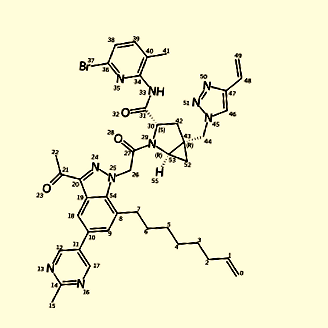 C=CCCCCCCc1cc(-c2cnc(C)nc2)cc2c(C(C)=O)nn(CC(=O)N3[C@H](C(=O)Nc4nc(Br)ccc4C)C[C@@]4(Cn5cc(C=C)nn5)C[C@@H]34)c12